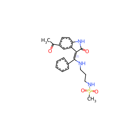 CC(=O)c1ccc2c(c1)/C(=C(/NCCCNS(C)(=O)=O)c1ccccc1)C(=O)N2